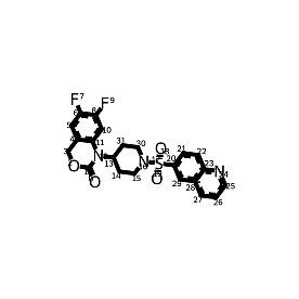 O=C1OCc2cc(F)c(F)cc2N1C1CCN(S(=O)(=O)c2ccc3ncccc3c2)CC1